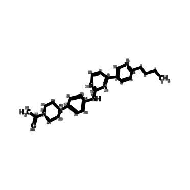 CCCCc1ccc(-c2ccnc(Nc3ccc(N4CCN(C(C)=O)CC4)cc3)n2)cn1